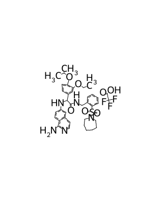 CCOc1cc(C(Nc2ccc3c(N)nccc3c2)C(=O)NCc2ccccc2S(=O)(=O)N2CCCCCC2)ccc1OC(C)C.O=C(O)C(F)(F)F